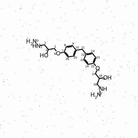 NNCC(O)COc1ccc(Cc2ccc(OCC(O)CNN)cc2)cc1